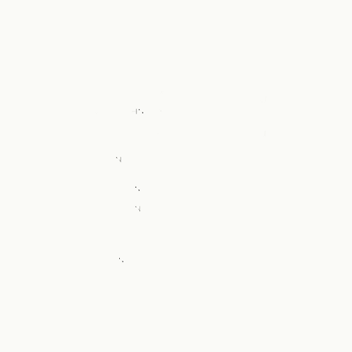 CC(C)c1ccc(S(=O)(=O)N[C@@H]2CN(c3ccc(C#N)nn3)C[C@@H]2O)cc1